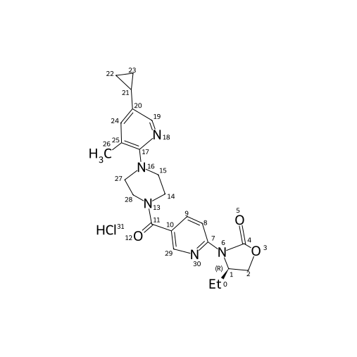 CC[C@@H]1COC(=O)N1c1ccc(C(=O)N2CCN(c3ncc(C4CC4)cc3C)CC2)cn1.Cl